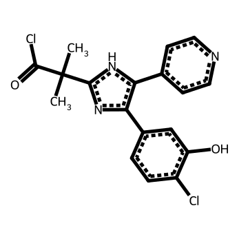 CC(C)(C(=O)Cl)c1nc(-c2ccc(Cl)c(O)c2)c(-c2ccncc2)[nH]1